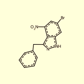 O=[N+]([O-])c1cc(Br)cc2[nH]nc(Cc3ccccc3)c12